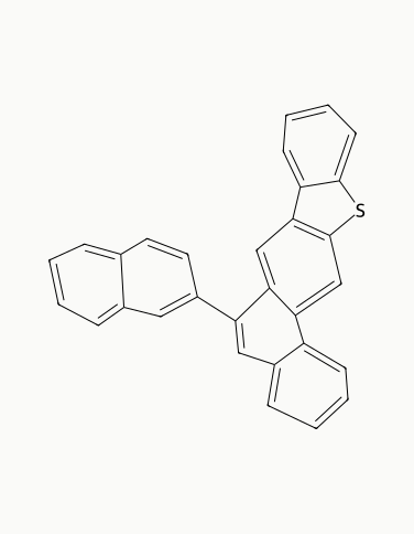 c1ccc2cc(-c3cc4ccccc4c4cc5sc6ccccc6c5cc34)ccc2c1